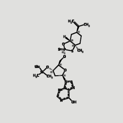 C=C(C)[C@H]1CC[C@@]2(C)S[P@](=S)(OC[C@H]3O[C@@H](n4cnc5c(O)ncnc54)C[C@@H]3O[Si](C)(C)C(C)(C)C)O[C@@H]2C1